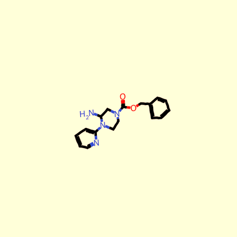 NC1CN(C(=O)OCc2ccccc2)CCN1c1ccccn1